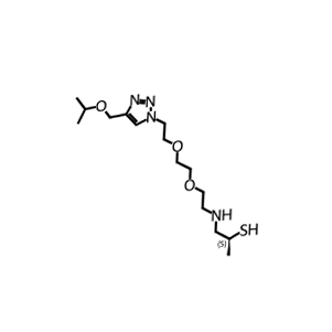 CC(C)OCc1cn(CCOCCOCCNC[C@H](C)S)nn1